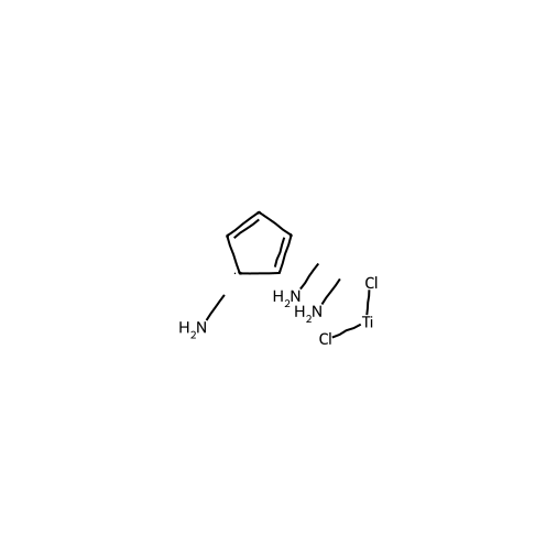 CN.CN.CN.[CH]1C=CC=C1.[Cl][Ti][Cl]